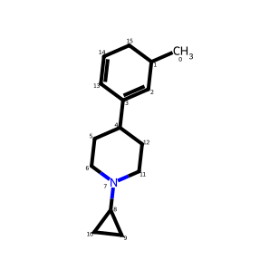 CC1C=C(C2CCN(C3CC3)CC2)C=CC1